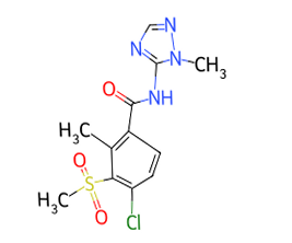 Cc1c(C(=O)Nc2ncnn2C)ccc(Cl)c1S(C)(=O)=O